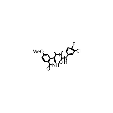 COc1ccc2c(=O)[nH]cc(C(C)N(C)C(=O)Nc3ccc(F)c(Cl)c3)c2c1